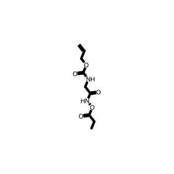 C=CCOC(=O)NCC(=O)NOC(=O)CC